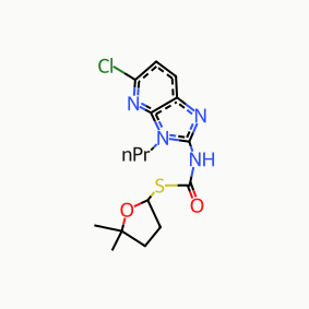 CCCn1c(NC(=O)SC2CCC(C)(C)O2)nc2ccc(Cl)nc21